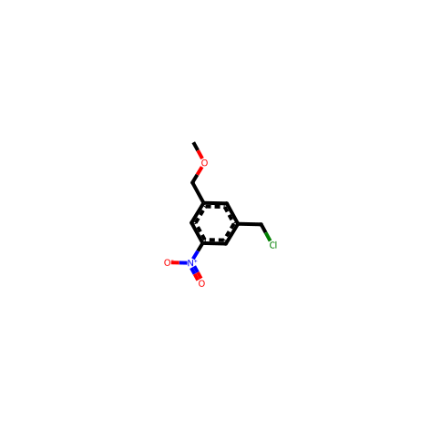 COCc1cc(CCl)cc([N+](=O)[O-])c1